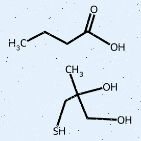 CC(O)(CO)CS.CCCC(=O)O